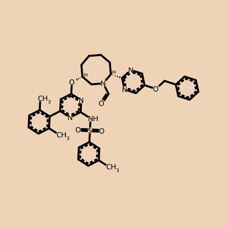 Cc1cccc(S(=O)(=O)Nc2nc(O[C@@H]3CCCC[C@H](c4ncc(OCc5ccccc5)cn4)N(C=O)C3)cc(-c3c(C)cccc3C)n2)c1